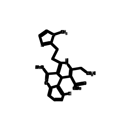 COC(=O)C1=C(CCc2nccn2C)NC(CC(=O)O)=C(C(=O)OC)C1c1c(Cl)cccc1Cl